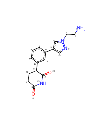 NCCn1cc(-c2cccc(C3CCC(=O)NC3=O)c2)cn1